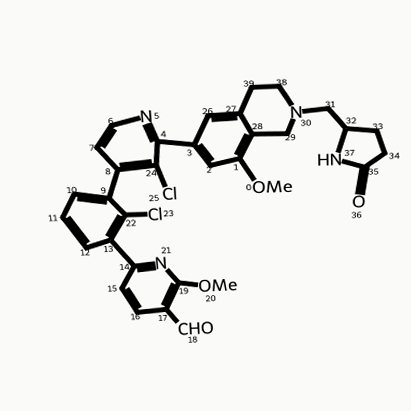 COc1cc(-c2nccc(-c3cccc(-c4ccc(C=O)c(OC)n4)c3Cl)c2Cl)cc2c1CN(CC1CCC(=O)N1)CC2